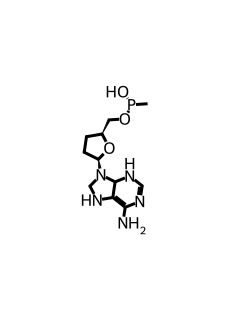 CP(O)OC[C@@H]1CC[C@H](N2CNC3=C(N)N=CNC32)O1